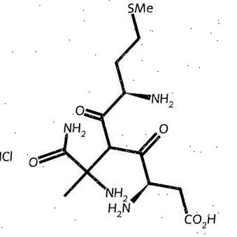 CSCC[C@@H](N)C(=O)C(C(=O)[C@H](N)CC(=O)O)C(C)(N)C(N)=O.Cl